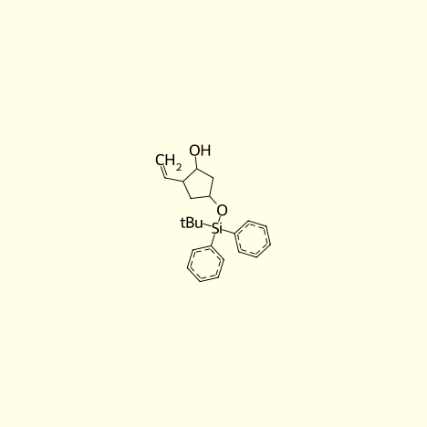 C=CC1CC(O[Si](c2ccccc2)(c2ccccc2)C(C)(C)C)CC1O